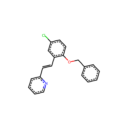 Clc1ccc(OCc2ccccc2)c(C=Cc2ccccn2)c1